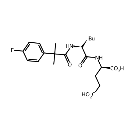 CC[C@H](C)[C@H](NC(=O)C(C)(C)c1ccc(F)cc1)C(=O)N[C@H](CCC(=O)O)C(=O)O